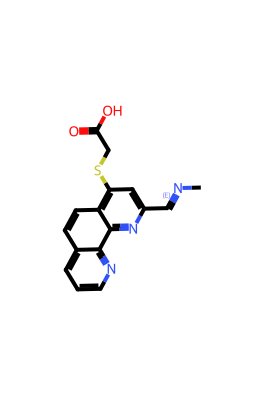 C/N=C/c1cc(SCC(=O)O)c2ccc3cccnc3c2n1